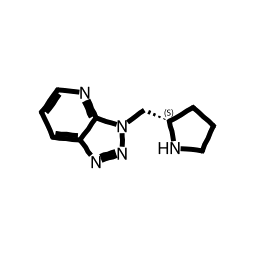 c1cnc2c(c1)nnn2C[C@@H]1CCCN1